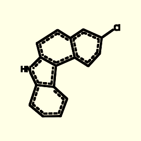 Clc1ccc2c(ccc3[nH]c4ccccc4c32)c1